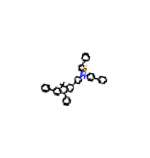 CC1(C)c2cc(-c3ccccc3)ccc2C(c2ccccc2)c2ccc(-c3ccc(N(c4ccc(-c5ccccc5)cc4)c4ccc(-c5ccccc5)s4)cc3)cc21